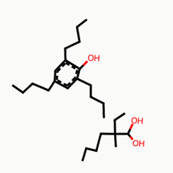 CCCCC(C)(CC)C(O)O.CCCCc1cc(CCCC)c(O)c(CCCC)c1